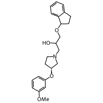 COc1cccc(O[C@H]2CCN(CC(O)COC3CCc4ccccc43)C2)c1